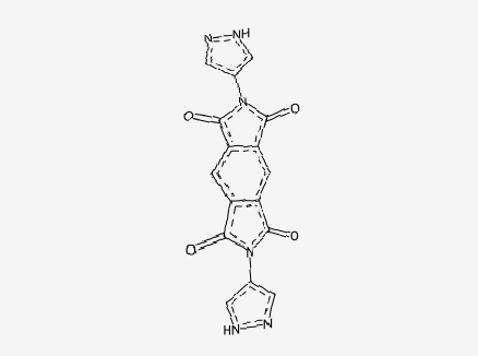 O=c1c2cc3c(=O)n(-c4cn[nH]c4)c(=O)c3cc2c(=O)n1-c1cn[nH]c1